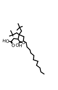 CCCCCCCCCCCCCC(CC(C)(C)C)(CC(C)(C)C)C(CC(=O)O)C(=O)O